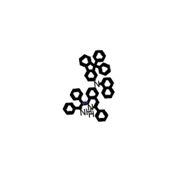 N=C(/C(=C1\NC(c2ccccc2)=Cc2cc(N(c3ccc4c(c3)C(c3ccccc3)(c3ccccc3)c3ccccc3-4)c3cccc4ccccc34)ccc21)c1ccccc1)c1ccccc1